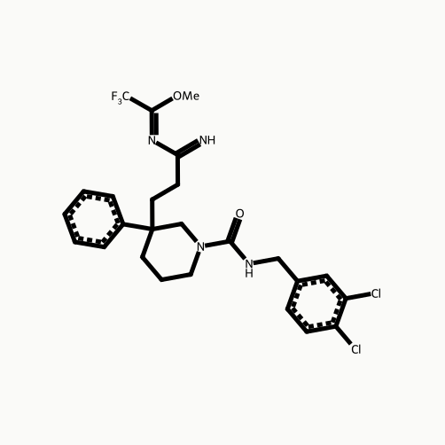 CO/C(=N\C(=N)CCC1(c2ccccc2)CCCN(C(=O)NCc2ccc(Cl)c(Cl)c2)C1)C(F)(F)F